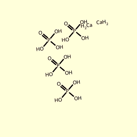 O=P(O)(O)O.O=P(O)(O)O.O=P(O)(O)O.O=P(O)(O)O.[CaH2].[CaH2]